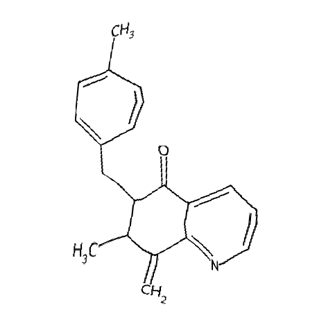 C=C1c2ncccc2C(=O)C(Cc2ccc(C)cc2)C1C